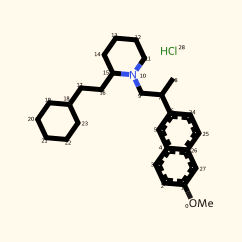 COc1ccc2cc(C(C)CN3CCCCC3CCC3CCCCC3)ccc2c1.Cl